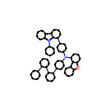 c1ccc(-c2ccccc2-c2ccccc2-c2ccc(N(c3ccc(-c4cccc5c6ccccc6n(-c6ccccc6)c45)cc3)c3cccc4oc5ccccc5c34)cc2)cc1